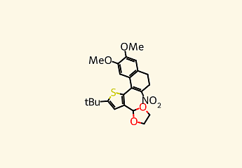 COc1cc2c(cc1OC)C(c1sc(C(C)(C)C)cc1C1OCCO1)=C([N+](=O)[O-])CC2